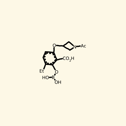 CCc1ccc(OC2CN(C(C)=O)C2)c(C(=O)O)c1OB(O)O